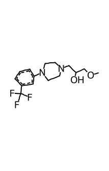 COCC(O)CN1CCN(c2cccc(C(F)(F)F)c2)CC1